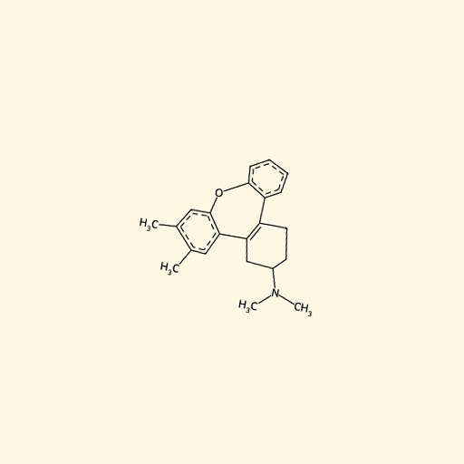 Cc1cc2c(cc1C)C1=C(CCC(N(C)C)C1)c1ccccc1O2